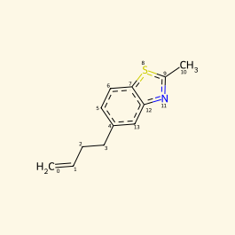 C=CCCc1ccc2sc(C)nc2c1